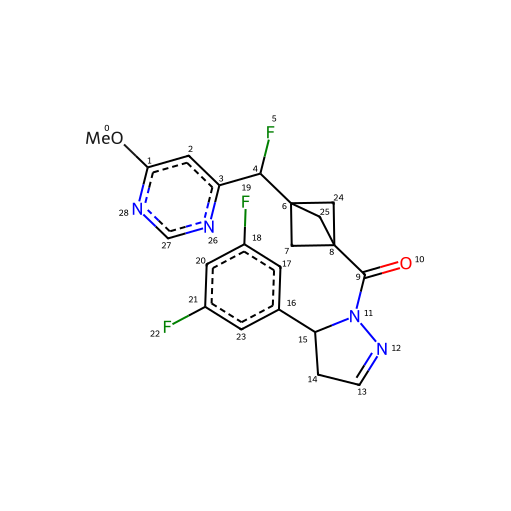 COc1cc(C(F)C23CC(C(=O)N4N=CCC4c4cc(F)cc(F)c4)(C2)C3)ncn1